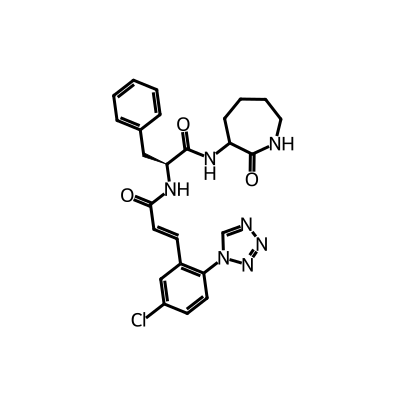 O=C(/C=C/c1cc(Cl)ccc1-n1cnnn1)N[C@@H](Cc1ccccc1)C(=O)NC1CCCCNC1=O